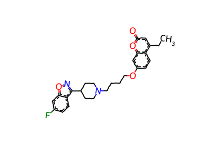 CCc1cc(=O)oc2cc(OCCCCN3CCC(c4noc5cc(F)ccc45)CC3)ccc12